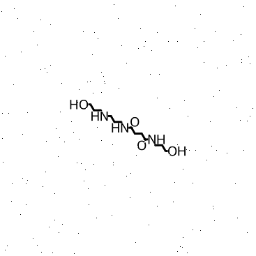 O=C(CCC(=O)NCCCNCCCO)NCCCO